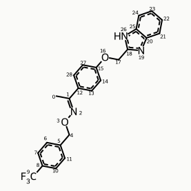 CC(=NOCc1ccc(C(F)(F)F)cc1)c1ccc(OCc2nc3ccccc3[nH]2)cc1